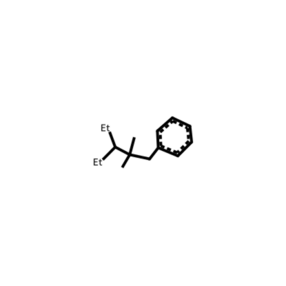 CCC(CC)C(C)(C)Cc1ccccc1